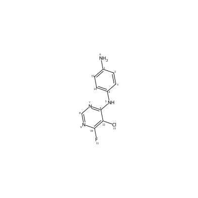 Nc1ccc(Nc2ncnc(F)c2Cl)cc1